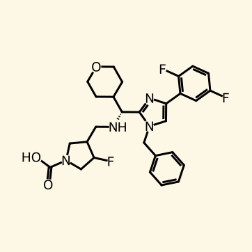 O=C(O)N1CC(F)C(CN[C@@H](c2nc(-c3cc(F)ccc3F)cn2Cc2ccccc2)C2CCOCC2)C1